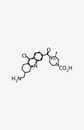 C[C@H]1CN(C(=O)O)CCN1C(=O)c1ccc2c(Cl)c3c(nc2c1)CC(CN)CC3